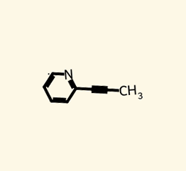 CC#Cc1ccc[c]n1